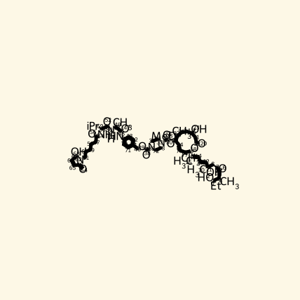 CC[C@H](O)[C@@H](C)[C@H]1O[C@@H]1C[C@@](C)(O)/C=C/C=C(\C)[C@H]1OC(=O)C[C@H](O)CC[C@@](C)(OC)[C@@H](OC(=O)N2CCN(C(=O)OCc3ccc(NC(=O)[C@H](C)NC(=O)[C@@H](NC(=O)CCCCCN4C(=O)C=CC4O)C(C)C)cc3)CC2)/C=C/[C@@H]1C